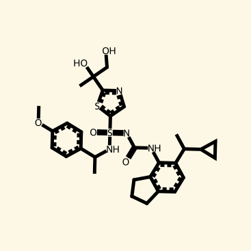 COc1ccc(C(C)NS(=O)(=NC(=O)Nc2c(C(C)C3CC3)ccc3c2CCC3)c2cnc(C(C)(O)CO)s2)cc1